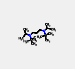 CC(C)N(CCCN(C(C)C)[Si](C)(C)C)[Si](C)(C)C